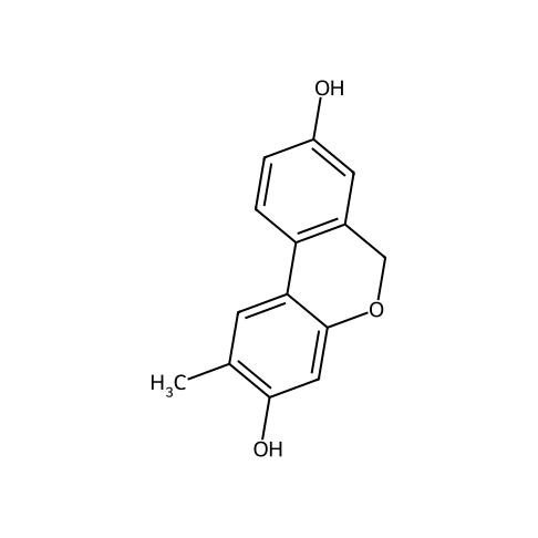 Cc1cc2c(cc1O)OCc1cc(O)ccc1-2